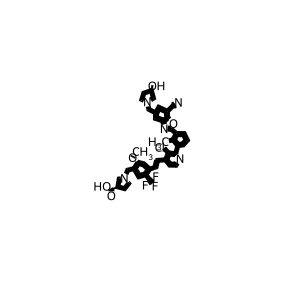 COc1cc(/C=C/c2ccnc(-c3cccc(-c4nc5cc(CN6CC[C@@H](O)C6)cc(C#N)c5o4)c3C)c2Cl)c(C(F)(F)F)cc1CN1CC[C@@H](C(=O)O)C1